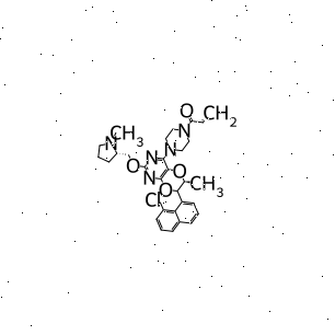 C=CC(=O)N1CCN(c2nc(OC[C@@H]3CCCN3C)nc3c2O[C@@H](C)C(c2cccc4cccc(Cl)c24)O3)CC1